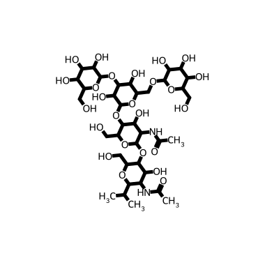 CC(=O)NC1C(OC2C(CO)OC(C(C)C)C(NC(C)=O)C2O)OC(CO)C(OC2OC(COC3OC(CO)C(O)C(O)C3O)C(O)C(OC3OC(CO)C(O)C(O)C3O)C2O)C1O